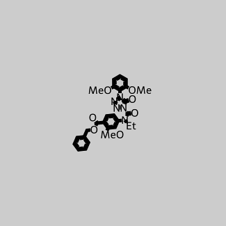 CCN(C(=O)n1nnn(-c2c(OC)cccc2OC)c1=O)c1ccc(C(=O)OCc2ccccc2)c(OC)c1